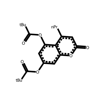 CCCc1cc(=O)oc2cc(OC(=O)C(C)(C)C)cc(OC(=O)C(C)(C)C)c12